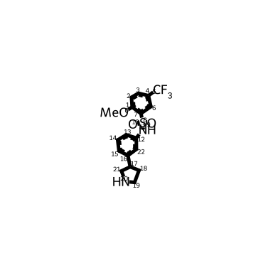 COc1ccc(C(F)(F)F)cc1S(=O)(=O)Nc1cccc(C2CCNC2)c1